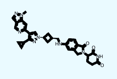 Cn1ncc2cnc(-c3cn([C@H]4C[C@H](CNc5ccc6c(c5)CN(C5CCC(=O)NC5=O)C6=O)C4)nc3C3CC3)cc21